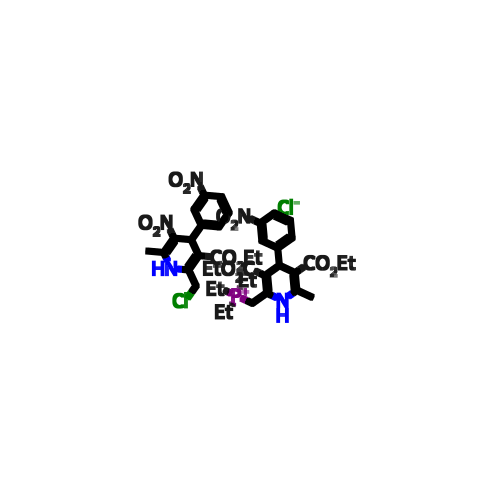 CCOC(=O)C1=C(C)NC(C[P+](CC)(CC)CC)=C(C(=O)OCC)C1c1cccc([N+](=O)[O-])c1.CCOC(=O)C1=C(CCl)NC(C)=C([N+](=O)[O-])C1c1cccc([N+](=O)[O-])c1.[Cl-]